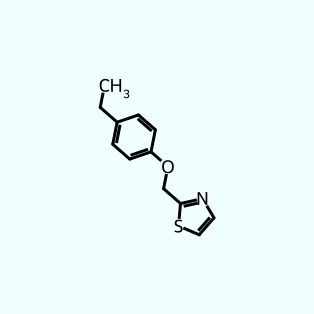 CCc1ccc(OCc2nccs2)cc1